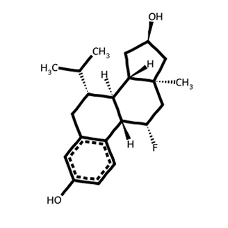 CC(C)[C@H]1Cc2cc(O)ccc2[C@@H]2[C@@H]1[C@@H]1C[C@@H](O)C[C@@]1(C)C[C@@H]2F